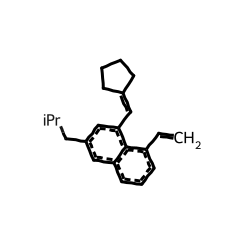 C=Cc1cccc2cc(CC(C)C)cc(C=C3CCCC3)c12